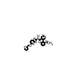 COc1ccccc1-c1cnncc1C(=O)Nc1nc2ccc(OCC3CCCO3)nc2s1